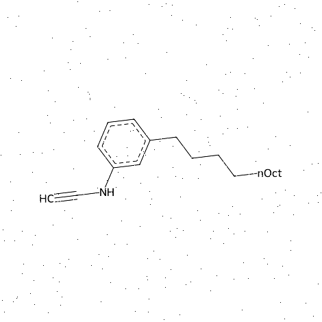 C#CNc1cccc(CCCCCCCCCCCC)c1